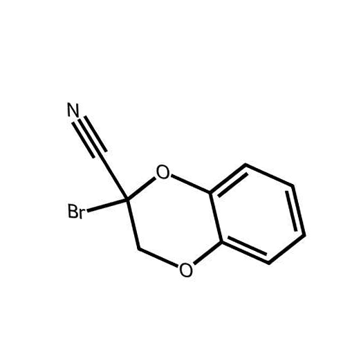 N#CC1(Br)COc2ccccc2O1